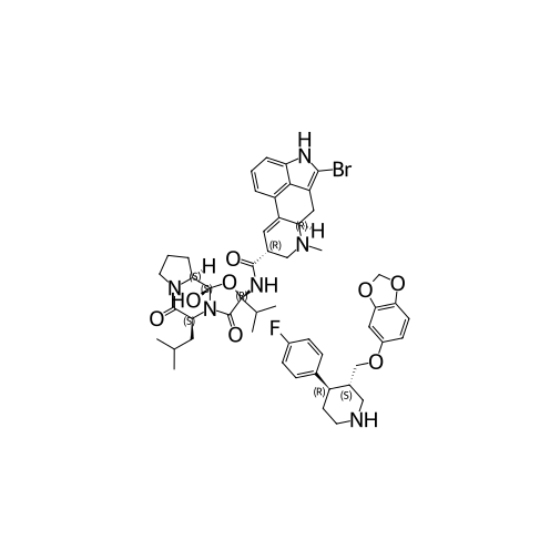 CC(C)C[C@H]1C(=O)N2CCC[C@H]2[C@]2(O)O[C@](NC(=O)[C@@H]3C=C4c5cccc6[nH]c(Br)c(c56)C[C@H]4N(C)C3)(C(C)C)C(=O)N12.Fc1ccc([C@@H]2CCNC[C@H]2COc2ccc3c(c2)OCO3)cc1